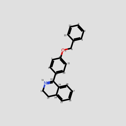 c1ccc(COc2ccc(C3=NCCc4ccccc43)cc2)cc1